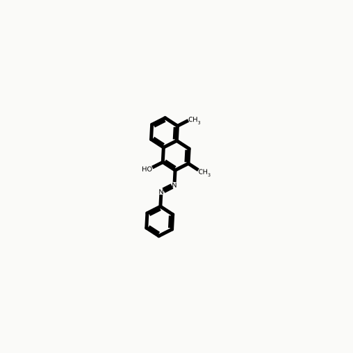 Cc1cc2c(C)cccc2c(O)c1/N=N/c1ccccc1